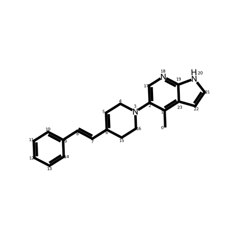 Cc1c(N2CC=C(C=Cc3ccccc3)CC2)cnc2[nH]ccc12